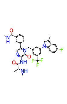 CNC(=O)c1cccc(-c2cnc(NC(=O)[C@H](C)NC)c(=O)n2Cc2cc(-n3cc(C)c4cc(F)ccc43)cc(C(F)(F)F)c2)c1